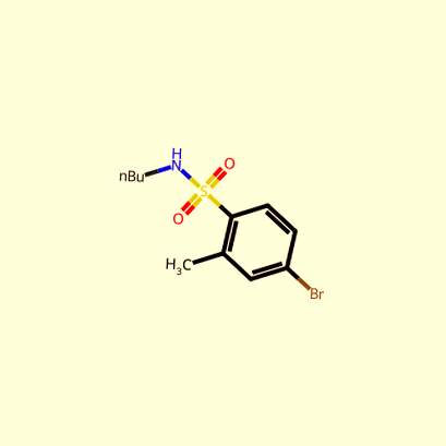 CCCCNS(=O)(=O)c1ccc(Br)cc1C